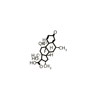 C[C@@H]1C[C@H]2[C@@H]3C[C@H](C)C4=CC(=O)C=C[C@]4(C)[C@@]3(F)[C@@H](O)C[C@]2(C)[C@]1(O)C(=O)O